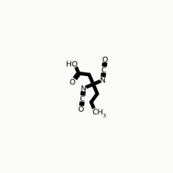 CCCC(CC(=O)O)(N=C=O)N=C=O